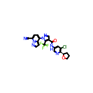 N#Cc1ccc(-n2ncc(C(=O)Nc3cnc([C@H]4CCCO4)c(Cl)c3)c2C(F)(F)F)c2ccnn12